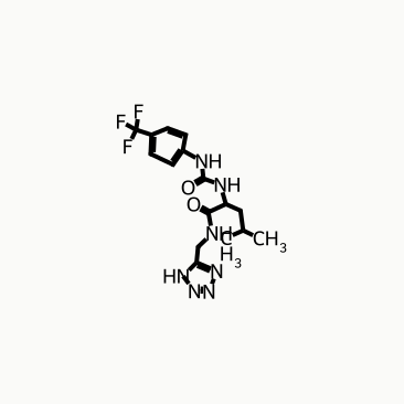 CC(C)CC(NC(=O)Nc1ccc(C(F)(F)F)cc1)C(=O)NCc1nnn[nH]1